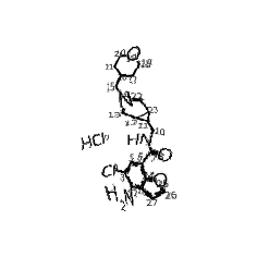 Cl.Nc1c(Cl)cc(C(=O)NCC2C3CN(CC4CCOCC4)CC23)c2occc12